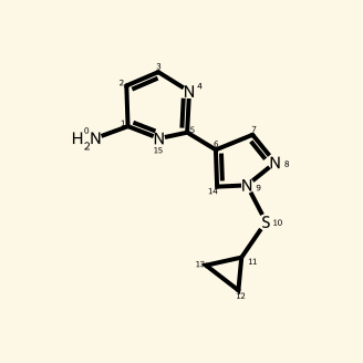 Nc1ccnc(-c2cnn(SC3CC3)c2)n1